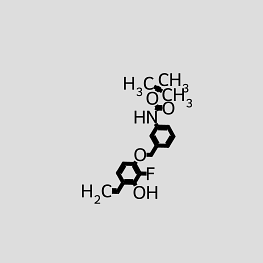 C=Cc1ccc(OCc2cccc(NC(=O)OC(C)(C)C)c2)c(F)c1O